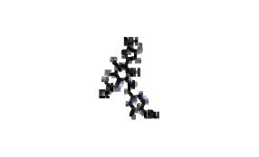 C=C/C=C(\C=C/C(C)C(C)(C)C)C/N=C(NC(=C)c1ccc(N)s1)\C(=C\N(C)CC)C(C)N=C